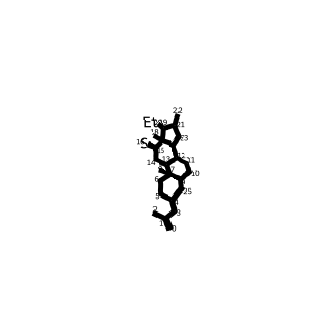 C=C(C)CC1CCC2(C)C(CCC3C2CC(=S)C2(C)C(CC)C(C)CC32)C1